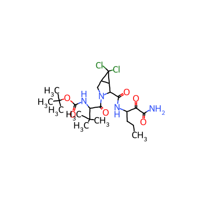 CCCC(NC(=O)C1C2C(CN1C(=O)C(NC(=O)OC(C)(C)C)C(C)(C)C)C2(Cl)Cl)C(=O)C(N)=O